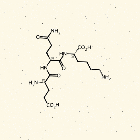 NCCCC[C@H](NC(=O)[C@H](CCC(N)=O)NC(=O)[C@@H](N)CCC(=O)O)C(=O)O